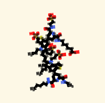 CCCCCNC(=O)c1cc(-c2cc3c(c4ccsc24)[N+](CCCS(=O)(=O)O)=C(/C=C/C=C2/N(CCC)c4c(cc(-c5cc(C(=O)NCCCCCC(=O)O)nc(C(=O)NCCS(=O)(=O)O)c5)c5sc(S(=O)(=O)O)cc45)C2(C)CCCS(=O)(=O)O)C3(C)CCC)cc(C(=O)NCC)n1